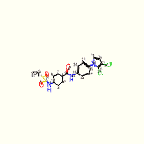 CC(C)S(=O)(=O)NC1CCC(C(=O)Nc2ccc(-n3ccc(Cl)c3Cl)cc2)CC1